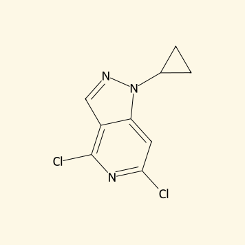 Clc1cc2c(cnn2C2CC2)c(Cl)n1